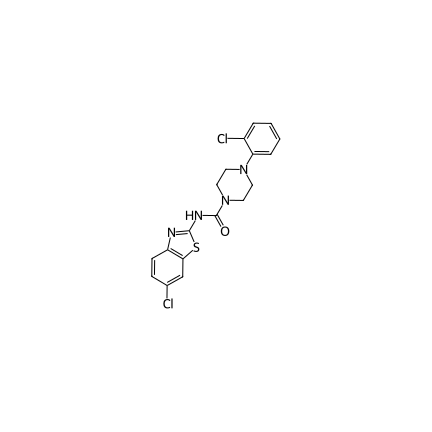 O=C(Nc1nc2ccc(Cl)cc2s1)N1CCN(c2ccccc2Cl)CC1